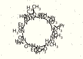 C/C=C/C[C@@H](C)[C@@H](O)[C@H]1C(=O)N[C@@H](CC)C(=O)N(C)CC(=O)N(C)[C@@H](CC(C)C)C(=O)N[C@@H](CC)C(=O)N(C)[C@@H](CC(C)C)C(=O)N[C@@H](C)C(=O)N[C@H](C)C(=O)N(C)[C@@H](CCC(C)C)C(=O)N(C)[C@@H](CC(C)C)C(=O)N(C)[C@@H](C(C)C)C(=O)N1C